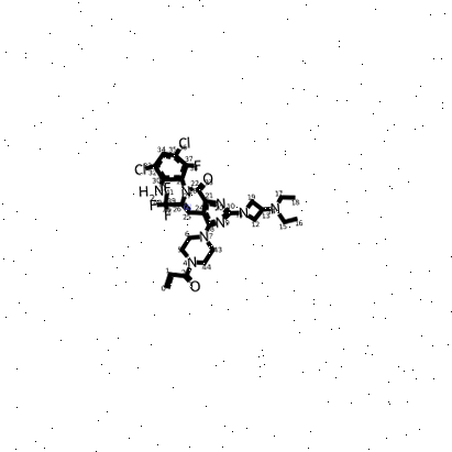 C=CC(=O)N1CCN(c2nc(N3CC(N(CC)CC)C3)nc(C=O)c2/C=C(\N(C)c2c(N)c(Cl)cc(Cl)c2F)C(F)(F)F)CC1